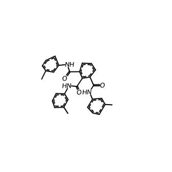 Cc1cccc(NC(=O)c2cccc(C(=O)Nc3cccc(C)c3)c2C(=O)Nc2cccc(C)c2)c1